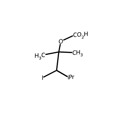 CC(C)C(I)C(C)(C)OC(=O)O